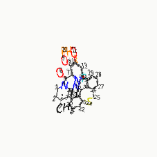 C[C@@H]1CCN2C(=O)c3c(OP)c(=O)ccn3N([C@@H]3c4ccccc4SCc4cccc(F)c43)[C@@H]2C1